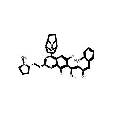 C/C(=C\C(O)=C/c1ccccc1C)c1c(Cl)cc2c(N3C4CCC3C3CCC4N3)nc(OC[C@@H]3CCCN3C)nc2c1F